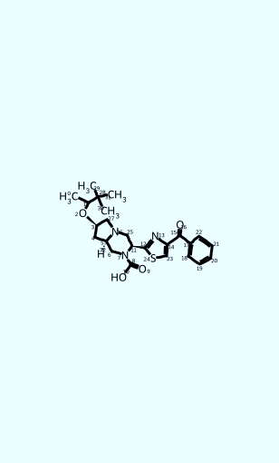 CC(O[C@@H]1C[C@@H]2CN(C(=O)O)[C@H](c3nc(C(=O)c4ccccc4)cs3)CN2C1)C(C)(C)C